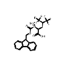 CN(C(=O)OCC1c2ccccc2-c2ccccc21)C(CC(C(F)(F)F)C(F)(F)F)C(=O)O